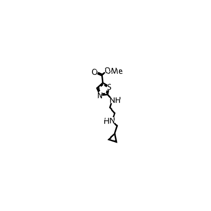 COC(=O)c1cnc(NCCNCC2CC2)s1